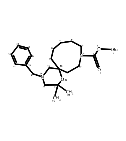 CC(C)(C)OC(=O)N1CCCCCC2(CC1)CN(Cc1ccccc1)CC(C)(C)O2